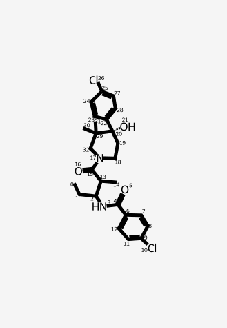 CCC(NC(=O)c1ccc(Cl)cc1)C(C)C(=O)N1CC[C@](O)(c2ccc(Cl)cc2)C(C)(C)C1